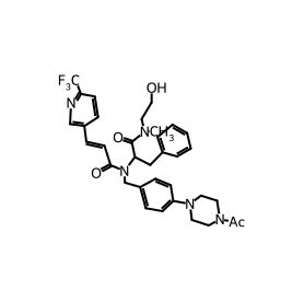 CC(=O)N1CCN(c2ccc(CN(C(=O)C=Cc3ccc(C(F)(F)F)nc3)C(Cc3ccccc3)C(=O)N(C)CCO)cc2)CC1